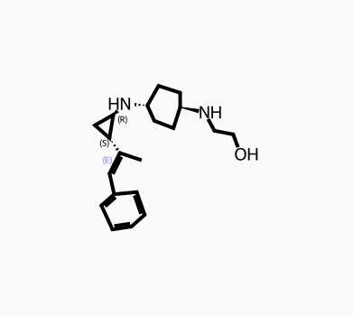 C/C(=C\c1ccccc1)[C@@H]1C[C@H]1N[C@H]1CC[C@H](NCCO)CC1